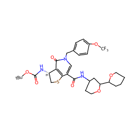 CC(C)(C)OC(=O)N[C@H]1CSc2c(C(=O)NC3CCOC(C4CCCCO4)C3)cn(Cc3ccc(OC(F)(F)F)cc3)c(=O)c21